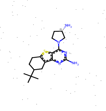 CC(C)(C)C1CCc2sc3c(N4CC[C@H](N)C4)nc(N)nc3c2C1